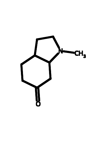 CN1CCC2CCC(=O)CC21